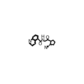 N#C[C@@H]1CCCC1C(=O)CNC(=O)c1cccc2ncccc12